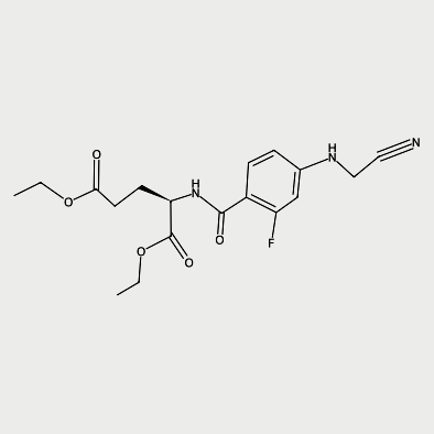 CCOC(=O)CC[C@@H](NC(=O)c1ccc(NCC#N)cc1F)C(=O)OCC